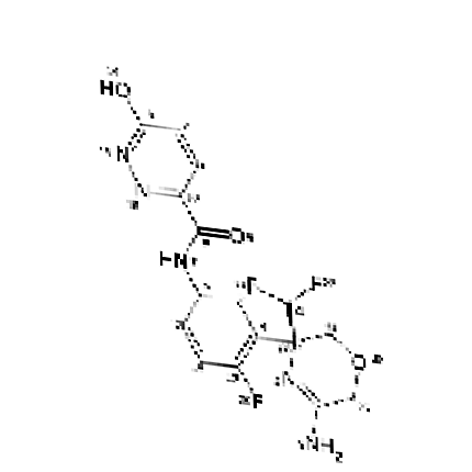 NC1=N[C@@](c2cc(NC(=O)c3ccc(O)nn3)ccc2F)(C(F)F)COC1